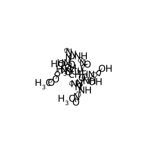 CC(=O)N1CCC(Nc2cc(C(=O)NC[C@@H](O)[C@@H]3Cc4ccc(O)cc4CN3)nc(N3CCCC3)n2)CC1.COCOc1ccc2c(c1)CN(C(=O)OC(C)(C)C)[C@H]([C@H](O)CNC(=O)c1cc(NC3CCN(C(C)=O)CC3)nc(N3CCCC3)n1)C2